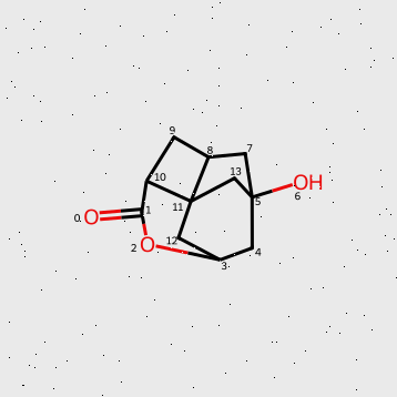 O=C1OC2CC3(O)CC4CC1C4(C2)C3